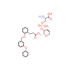 NC(COP(=O)(O)O[C@H]1C=CCO[C@@H]1COC(=O)CCc1ccccc1OCc1cccc(Oc2ccccc2)c1)C(=O)O